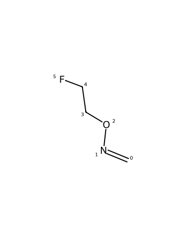 C=NOCCF